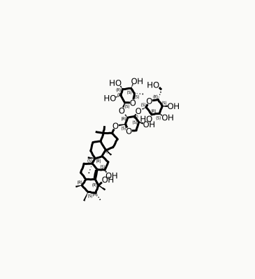 C[C@@H]1[C@@H](C)[C@@](C)(O)C2=C3[C@@H](O)CC4[C@@]5(C)CCC(O[C@@H]6OC[C@H](O)[C@H](O[C@@H]7O[C@H](CO)[C@@H](O)[C@H](O)[C@H]7O)[C@H]6O[C@@H]6O[C@@H](C)[C@@H](O)[C@@H](O)[C@H]6O)C(C)(C)C5CC[C@@]4(C)[C@]3(C)CCC2[C@@H]1C